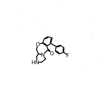 O=C1c2c(cccc2-c2ccc(F)cc2)OCC2CNCCN12